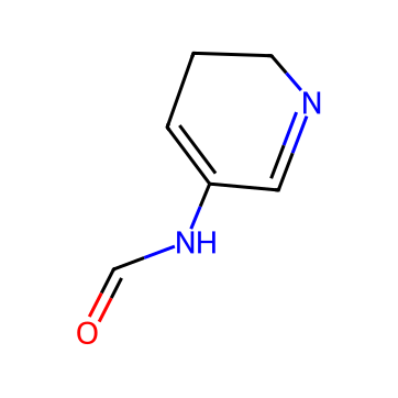 O=CNC1=CCCN=C1